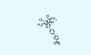 C[C@H](CCl)NP(=O)(N[C@H](C)CCl)OCc1ccc(-c2ccc([N+](=O)[O-])o2)cc1